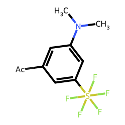 CC(=O)c1cc(N(C)C)cc(S(F)(F)(F)(F)F)c1